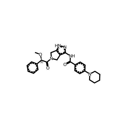 CO[C@@H](C(=O)N1Cc2[nH]nc(NC(=O)c3ccc(N4CCCCC4)cc3)c2C1)c1ccccc1